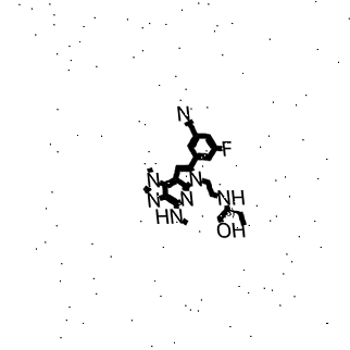 CC[C@@H](CO)NCCn1c(-c2cc(F)cc(C#N)c2)cc2c3c(ncn3C)c(NC)nc21